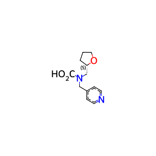 O=C(O)N(Cc1ccncc1)C[C@@H]1CCCO1